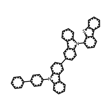 c1ccc(-c2ccc(-n3c4ccccc4c4cc(-c5ccc6c(c5)c5ccccc5n6-c5cccc6c5sc5ccccc56)ccc43)cc2)cc1